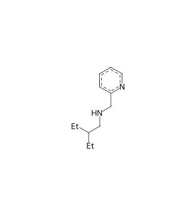 CCC(CC)CNCc1ccccn1